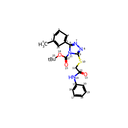 Cc1cccc(-c2nnc(SCC(=O)Nc3ccccc3)n2C(=O)OC(C)(C)C)c1